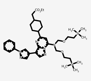 CCOC(=O)CC1CCC(c2cc(N(COCC[Si](C)(C)C)COCC[Si](C)(C)C)n3ncc(-c4cnn(-c5ccccc5)c4)c3n2)CC1